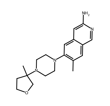 Cc1cc2cnc(N)cc2cc1N1CCN(C2(C)CCOC2)CC1